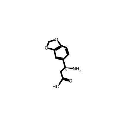 N[C@@H](CC(=O)O)c1ccc2c(c1)OCO2